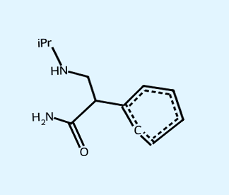 CC(C)NCC(C(N)=O)c1ccccc1